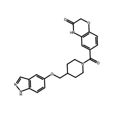 O=C1COc2ccc(C(=O)N3CCC(COc4ccc5[nH]ncc5c4)CC3)cc2N1